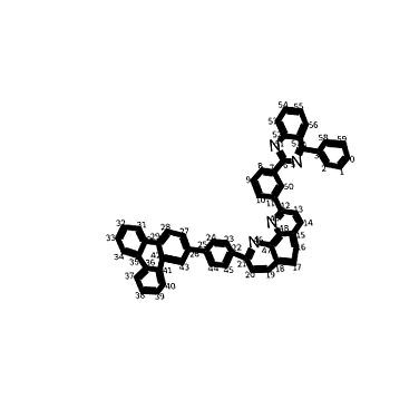 c1ccc(-c2nc(-c3cccc(-c4ccc5ccc6ccc(-c7ccc(-c8ccc9c%10ccccc%10c%10ccccc%10c9c8)cc7)nc6c5n4)c3)nc3ccccc23)cc1